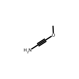 COC#CN